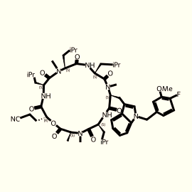 COc1cc(Cn2cc(C[C@H]3C(=O)N[C@@H](CC(C)C)C(=O)N(C)[C@@H](C)C(=O)O[C@H](CCC#N)C(=O)N[C@@H](CC(C)C)C(=O)N(C)[C@@H](CC(C)C)C(=O)N[C@@H](CC(C)C)C(=O)N3C)c3ccccc32)ccc1F